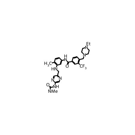 CCN1CCN(Cc2ccc(C(=O)Nc3ccc(C)c(NCc4cnc(NC(=O)NC)cn4)c3)cc2C(F)(F)F)CC1